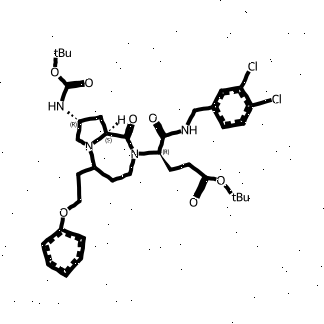 CC(C)(C)OC(=O)CC[C@H](C(=O)NCc1ccc(Cl)c(Cl)c1)N1CCC(CCOc2ccccc2)N2C[C@H](NC(=O)OC(C)(C)C)C[C@H]2C1=O